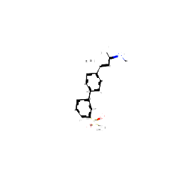 CC[C@@H](C)/C(=C\C(=N/C)C(F)(F)F)c1ccc(-c2cccc(S(=O)(=O)CC)c2)cc1